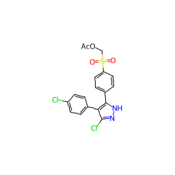 CC(=O)OCS(=O)(=O)c1ccc(-c2[nH]nc(Cl)c2-c2ccc(Cl)cc2)cc1